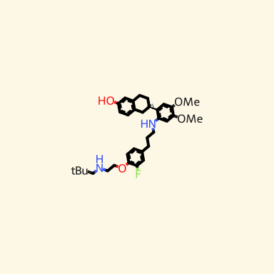 COc1cc(NCCCc2ccc(OCCNCC(C)(C)C)c(F)c2)c([C@@H]2CCc3cc(O)ccc3C2)cc1OC